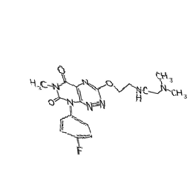 CN(C)CCNCCOc1nnc2c(n1)c(=O)n(C)c(=O)n2-c1ccc(F)cc1